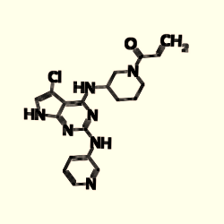 C=CC(=O)N1CCCC(Nc2nc(Nc3cccnc3)nc3[nH]cc(Cl)c23)C1